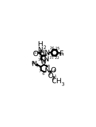 CCOC(=O)N1CCC(C#N)[C@H](n2cc(C(N)=O)c(Nc3ccc(F)cc3)n2)C1